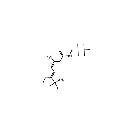 C=C(BCC(C)(C)C(C)(C)C)C/C(N)=C\C=C(/CC)C(F)(F)P